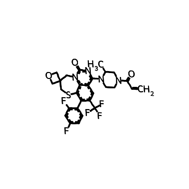 C=CC(=O)N1CCN(c2nc(=O)n3c4c(c(-c5ccc(F)cc5F)c(C(F)(F)F)cc24)SCC2(COC2)C3)C(C)C1